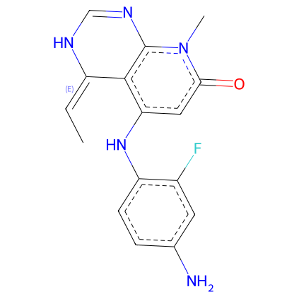 C/C=C1/NC=Nc2c1c(Nc1ccc(N)cc1F)cc(=O)n2C